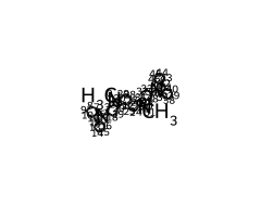 Cn1c2cc(-n3c4ccccc4c4ccccc43)ccc2c2c3ccc4c(c3ccc21)c1ccc(-n2c3ccccc3c3ccccc32)cc1n4C